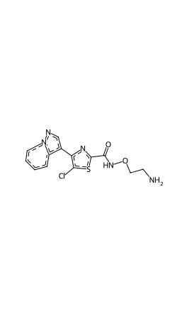 NCCONC(=O)c1nc(-c2cnn3ccccc23)c(Cl)s1